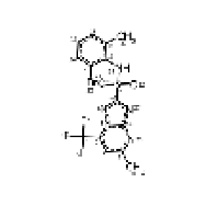 Cc1cc(C(F)(F)F)n2nc(S(=O)(=O)Nc3c(C)cccc3Br)nc2n1